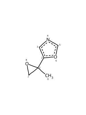 CC1(c2cnco2)CO1